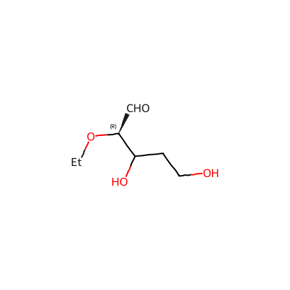 CCO[C@@H](C=O)C(O)CCO